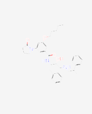 CCCCCOc1cc(C(=O)N[C@@H](Cc2ccccc2)[C@H](O)CNCC(C)c2ccccc2)cc(N2CCCC2=O)c1